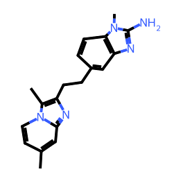 Cc1ccn2c(C)c(CCc3ccc4c(c3)nc(N)n4C)nc2c1